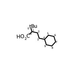 CC(C)(C)C(CCC1CCCCC1)C(=O)O